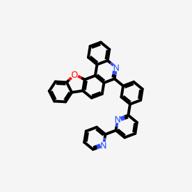 c1ccc(-c2cccc(-c3cccc(-c4nc5ccccc5c5c4ccc4c6ccccc6oc45)c3)n2)nc1